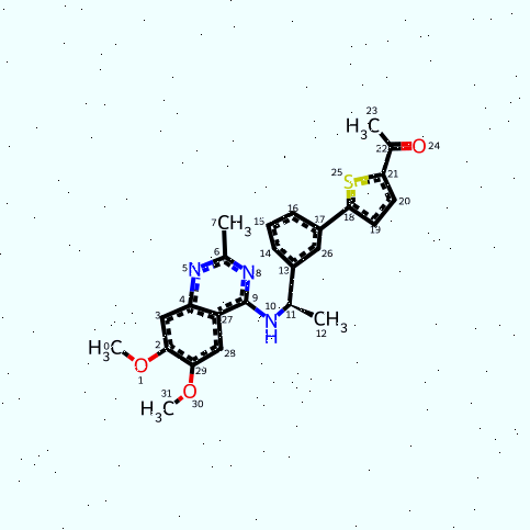 COc1cc2nc(C)nc(N[C@H](C)c3cccc(-c4ccc(C(C)=O)s4)c3)c2cc1OC